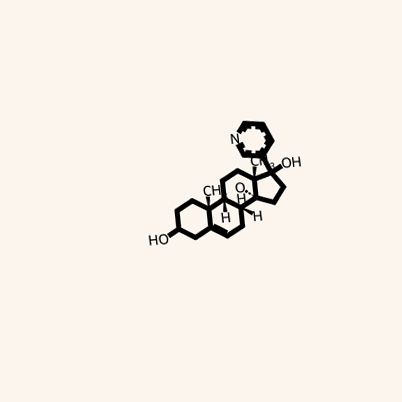 C[C@]12CCC(O)CC1=CC[C@@H]1[C@H]2CC[C@]2(C)C(O)(c3cccnc3)CC[C@@]12O